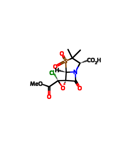 COC(=O)[C@]1(Cl)O[C@]12C(=O)N1[C@@H](C(=O)O)C(C)(C)S(=O)(=O)[C@@H]12